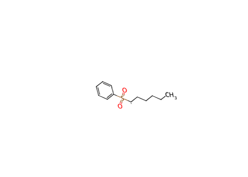 CCCCC[CH]S(=O)(=O)c1ccccc1